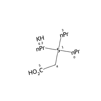 CCCS(CCC)(CCC)CC(=O)O.[KH]